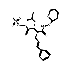 CC(C)C[C@@H](C(=O)NNS(C)(=O)=O)[C@H](CC=Cc1ccccc1)C(=O)NOC1CCCCO1